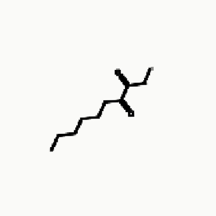 [CH2][CH]C(=O)C(=O)CCCCCC